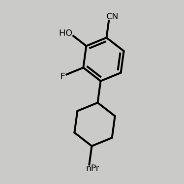 CCCC1CCC(c2ccc(C#N)c(O)c2F)CC1